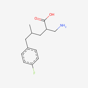 CC(Cc1ccc(F)cc1)CC(CN)C(=O)O